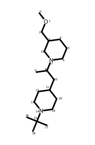 COCC1CCCN(C(C)CC2CCN(C(C)(C)C)CC2)C1